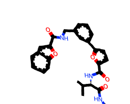 CNC(=O)[C@@H](NC(=O)c1ccc(-c2cccc(CNC(=O)c3cc4ccccc4o3)c2)o1)C(C)C